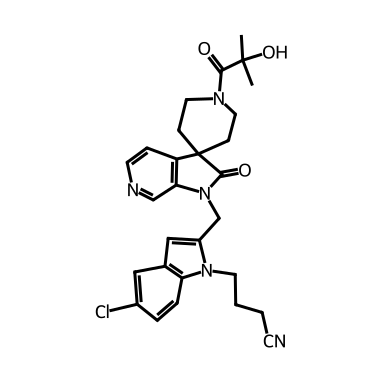 CC(C)(O)C(=O)N1CCC2(CC1)C(=O)N(Cc1cc3cc(Cl)ccc3n1CCCC#N)c1cnccc12